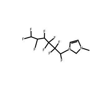 CN1C=CN(C(F)C(F)(F)C(F)(F)C(F)C(F)C(F)F)C1